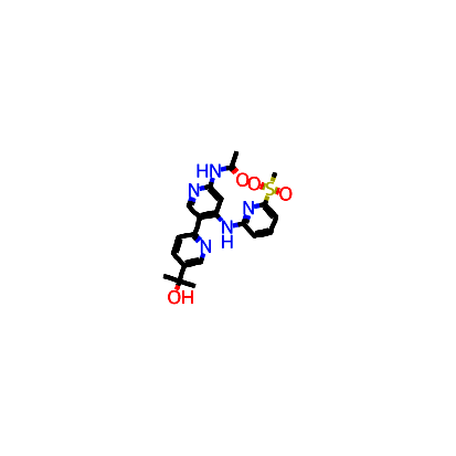 CC(=O)Nc1cc(Nc2cccc(S(C)(=O)=O)n2)c(-c2ccc(C(C)(C)O)cn2)cn1